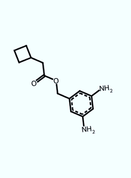 Nc1cc(N)cc(COC(=O)CC2CCC2)c1